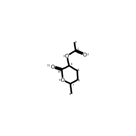 CC(=O)OC1CCC(C)OC1=O